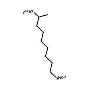 CCCCCCCCCCCCCCC[CH]C(C)CCCCCC